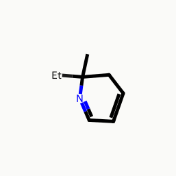 CCC1(C)CC=CC=N1